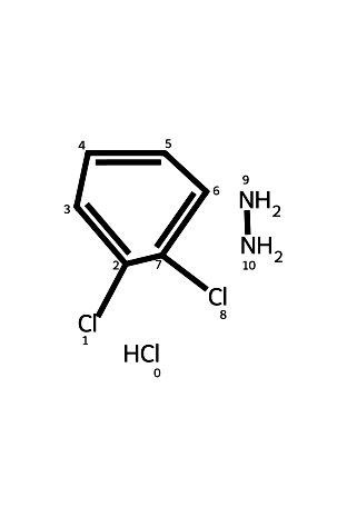 Cl.Clc1ccccc1Cl.NN